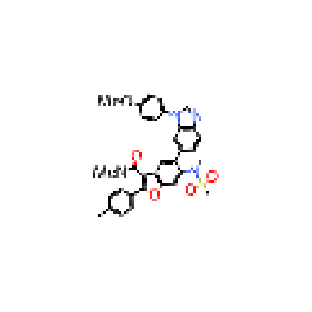 CNC(=O)c1c(-c2ccc(C)cc2)oc2cc(N(C)S(C)(=O)=O)c(-c3ccc4ncn(-c5ccc(OC)cc5)c4c3)cc12